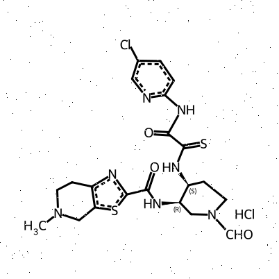 CN1CCc2nc(C(=O)N[C@@H]3CN(C=O)CC[C@@H]3NC(=S)C(=O)Nc3ccc(Cl)cn3)sc2C1.Cl